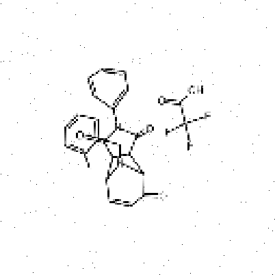 Cc1ccccc1CN1C2C=CC(=O)C1C1C(=O)N(c3ccccc3)C(=O)C12.O=C(O)C(F)(F)F